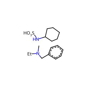 CCN(C)Cc1ccccc1.O=S(=O)(O)NC1CCCCC1